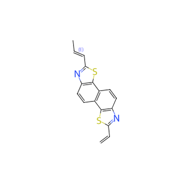 C=Cc1nc2ccc3c(ccc4nc(/C=C/C)sc43)c2s1